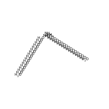 N.N.N.O.O.O.O.O.O.O.O.O.O.O.O.O.O.O.O.O.O.O.O.O.O.O.O.O.O.O.O.O.O.O.O.O.O